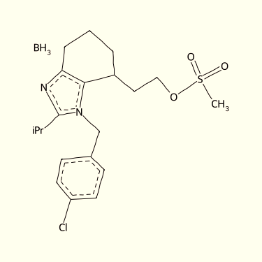 B.CC(C)c1nc2c(n1Cc1ccc(Cl)cc1)C(CCOS(C)(=O)=O)CCC2